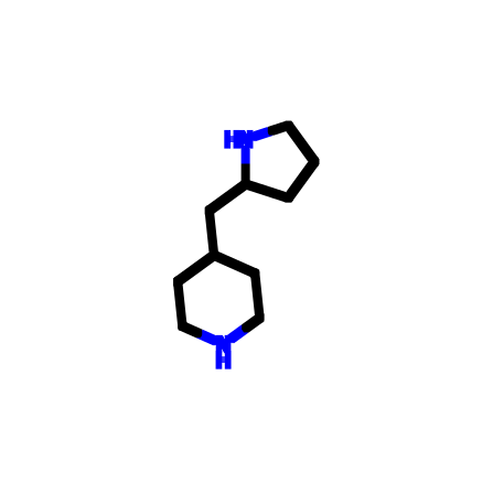 C1CNC(CC2CCNCC2)C1